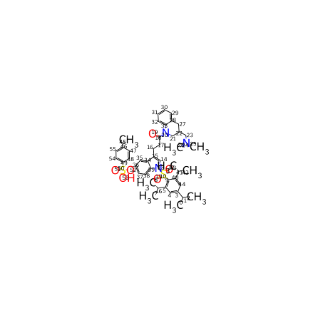 CC(C)c1cc(C(C)C)c(S(=O)(=O)n2cc(CCC(=O)N3CC(CN(C)C)Cc4ccccc43)c3ccccc32)c(C(C)C)c1.Cc1ccc(S(=O)(=O)O)cc1